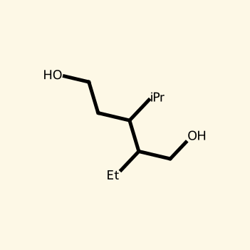 CCC(CO)C(CCO)C(C)C